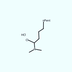 CCCCCCCCC(Cl)N(C)C.Cl